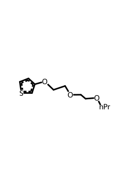 CCCOCCOCCOc1ccsc1